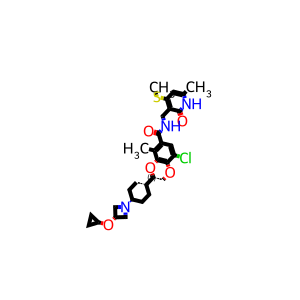 CSc1cc(C)[nH]c(=O)c1CNC(=O)c1cc(Cl)c2c(c1C)O[C@@H]([C@H]1CC[C@@H](N3CC(OC4CC4)C3)CC1)CO2